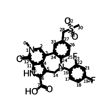 Cn1cc2c3c(c(C(=O)O)[nH]c3c1=O)CN(c1ccc(F)cc1F)c1ccc(CS(C)(=O)=O)cc1-2